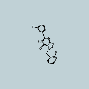 O=c1[nH]c(-c2cccc(F)c2)nc2ncn(Cc3ccccc3F)c12